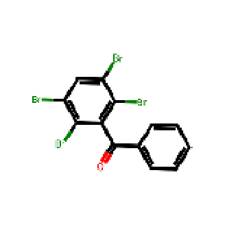 O=C(c1cc[c]cc1)c1c(Br)c(Br)cc(Br)c1Br